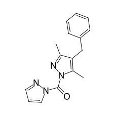 Cc1nn(C(=O)n2cccn2)c(C)c1Cc1ccccc1